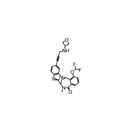 CN1C(=O)c2cccc(OC(F)F)c2C2CC1c1nc3ccc(C#CCNC4COC4)cc3n12